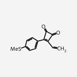 C=Cc1c(-c2ccc(SC)cc2)c(=O)c1=O